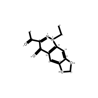 CCn1nc(C(C)=O)c(=O)c2cc3c(cc21)OCO3